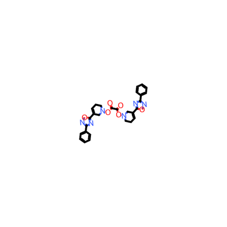 O=C(ON1CCC=C(c2nc(-c3ccccc3)no2)C1)C(=O)ON1CCC=C(c2nc(-c3ccccc3)no2)C1